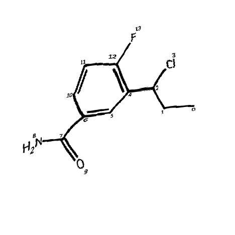 CCC(Cl)c1cc(C(N)=O)ccc1F